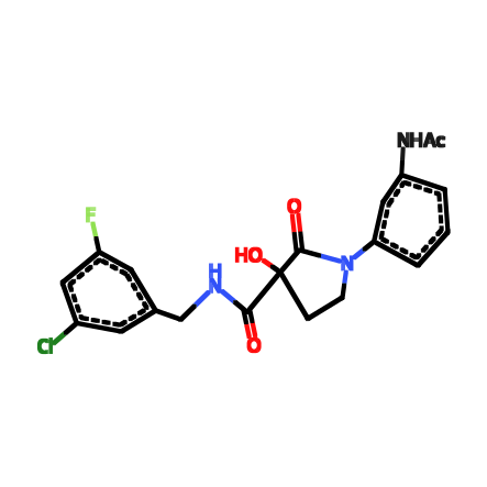 CC(=O)Nc1cccc(N2CCC(O)(C(=O)NCc3cc(F)cc(Cl)c3)C2=O)c1